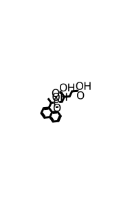 CC(c1cccc2ccccc12)P(=O)(O)CC(CCC(=O)O)C(=O)O